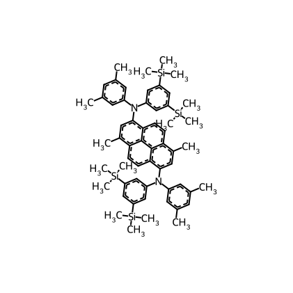 Cc1cc(C)cc(N(c2cc([Si](C)(C)C)cc([Si](C)(C)C)c2)c2cc(C)c3ccc4c(N(c5cc(C)cc(C)c5)c5cc([Si](C)(C)C)cc([Si](C)(C)C)c5)cc(C)c5ccc2c3c54)c1